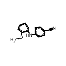 COc1ccccc1Nc1ccc(C#N)cc1